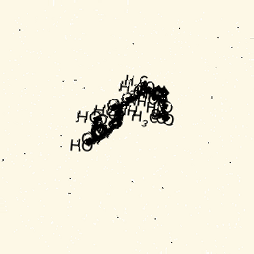 CCC(C)C(NC(=O)CCNC(=O)CCC(NC(=O)CN1CCC(CN2CCN(CC(=O)O)CCN(CC(=O)O)CC2)CC1)C(=O)O)C(=O)N[C@H]1CCn2ccc3c2C(=C[C@@H](C(=O)N[C@H]2CC(=O)O[C@H]2OC)C3)C1=O